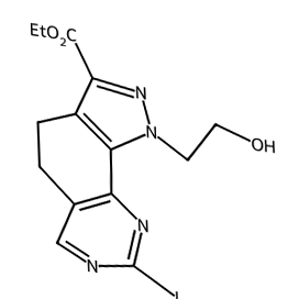 CCOC(=O)c1nn(CCO)c2c1CCc1cnc(I)nc1-2